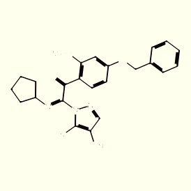 COc1cc(OCc2ccccc2)ccc1C(=O)C(=NC1CCCC1)n1ncc(C#N)c1N